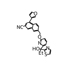 CCC(O)(c1cccc(OCc2ccc3c(-c4ccoc4)cc(C#N)cc3c2)n1)c1nccs1